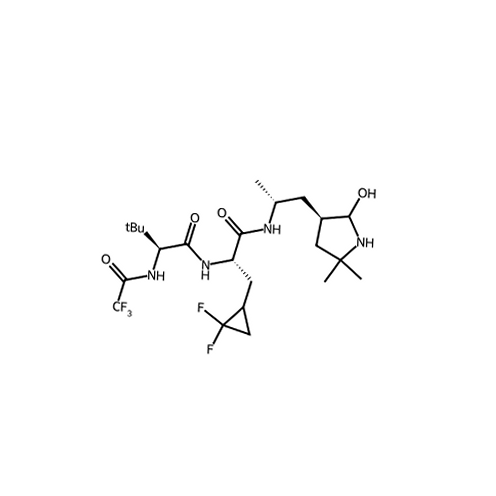 C[C@H](C[C@@H]1CC(C)(C)NC1O)NC(=O)[C@H](CC1CC1(F)F)NC(=O)[C@@H](NC(=O)C(F)(F)F)C(C)(C)C